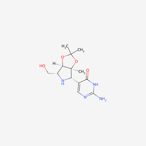 CC1(C)O[C@@H]2[C@@H](CO)N[C@@H](c3cnc(N)[nH]c3=O)[C@]2(C)O1